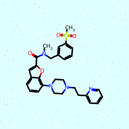 CN(Cc1cccc(S(C)(=O)=O)c1)C(=O)c1cc2cccc(N3CCN(CCc4ccccn4)CC3)c2o1